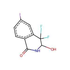 O=C1NC(O)C(F)(F)c2cc(I)ccc21